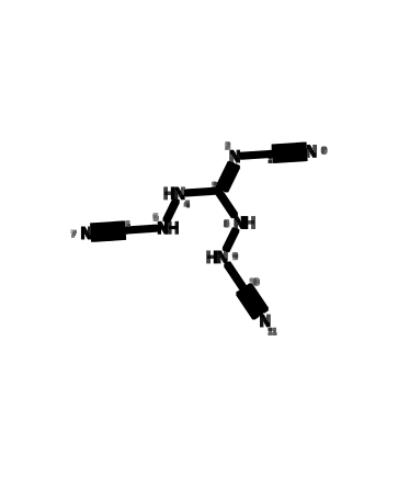 N#CN=C(NNC#N)NNC#N